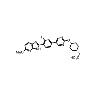 COc1ccc2nc(-c3ccc(-c4cnc(O[C@H]5CC[C@@H](CC(=O)O)CC5)nc4)cc3F)[nH]c2n1